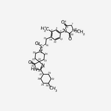 Cc1cc(N2C(=O)CN(C)C2=O)ccc1CC[S+]([O-])N1CCC2(CC1)N=C(C1CCC(C)CC1)NC2=O